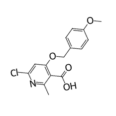 COc1ccc(COc2cc(Cl)nc(C)c2C(=O)O)cc1